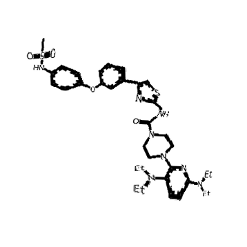 CCN(CC)c1ccc(N(CC)CC)c(N2CCN(C(=O)Nc3nc(-c4cccc(Oc5ccc(NS(C)(=O)=O)cc5)c4)cs3)CC2)n1